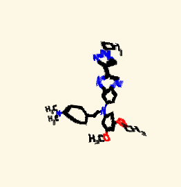 COc1cc(OC)cc(N(CCC2CCC(N(C)C)CC2)c2ccc3ncc(-c4cnn(C)c4)nc3c2)c1